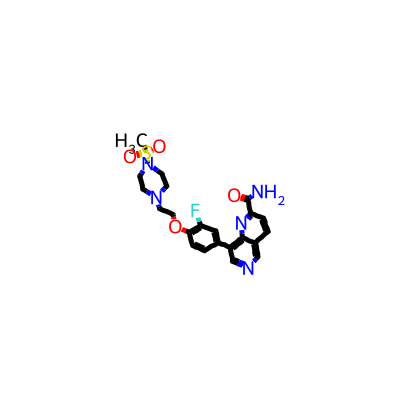 CS(=O)(=O)N1CCN(CCOc2ccc(-c3cncc4ccc(C(N)=O)nc34)cc2F)CC1